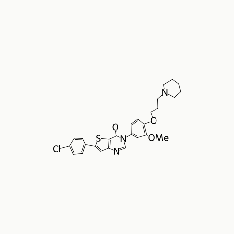 COc1cc(-n2cnc3cc(-c4ccc(Cl)cc4)sc3c2=O)ccc1OCCCN1CCCCC1